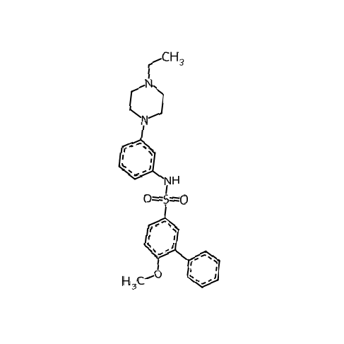 CCN1CCN(c2cccc(NS(=O)(=O)c3ccc(OC)c(-c4ccccc4)c3)c2)CC1